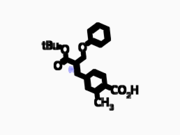 Cc1cc(/C=C(\COc2ccccc2)C(=O)OC(C)(C)C)ccc1C(=O)O